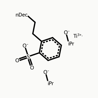 CC(C)[O-].CC(C)[O-].CCCCCCCCCCCCc1ccccc1S(=O)(=O)[O-].[Ti+3]